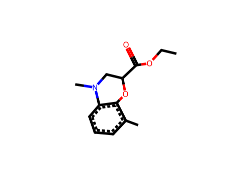 CCOC(=O)C1CN(C)c2cccc(C)c2O1